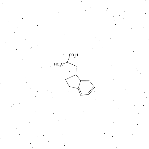 O=C(O)C(CC1CCc2ccccc21)C(=O)O